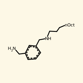 CCCCCCCCCCCNCc1cccc(CN)c1